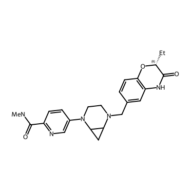 CC[C@H]1Oc2ccc(CN3CCN(c4ccc(C(=O)NC)nc4)C4CC43)cc2NC1=O